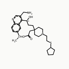 COc1ccc2ncc(CN)c([C@@H](O)CCC3(CC(=O)O)CCN(CCSC4CCCC4)CC3)c2c1